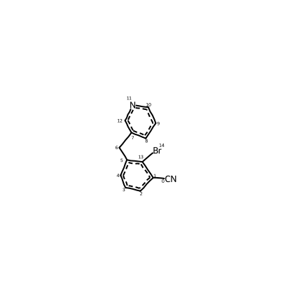 N#Cc1cccc(Cc2cccnc2)c1Br